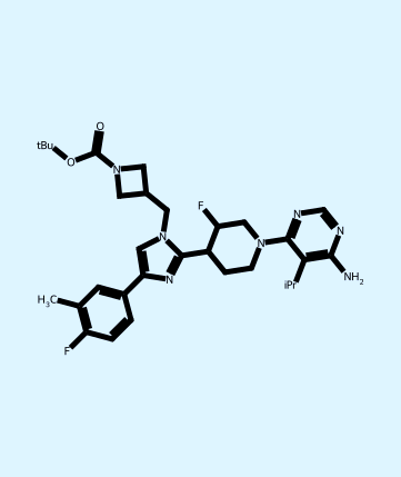 Cc1cc(-c2cn(CC3CN(C(=O)OC(C)(C)C)C3)c(C3CCN(c4ncnc(N)c4C(C)C)CC3F)n2)ccc1F